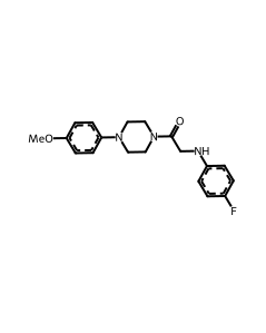 COc1ccc(N2CCN(C(=O)CNc3ccc(F)cc3)CC2)cc1